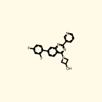 OC1CN(c2nc(-c3cccnc3)nc3cc(-c4ccc(F)cc4F)ccc23)C1